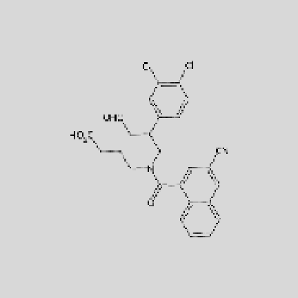 N#Cc1cc(C(=O)N(CCCC(=O)O)CC(CC=O)c2ccc(Cl)c(Cl)c2)c2ccccc2c1